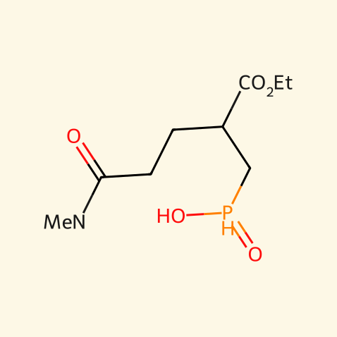 CCOC(=O)C(CCC(=O)NC)C[PH](=O)O